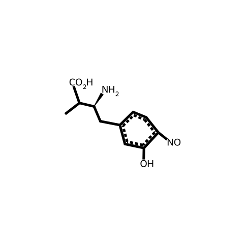 CC(C(=O)O)[C@@H](N)Cc1ccc(N=O)c(O)c1